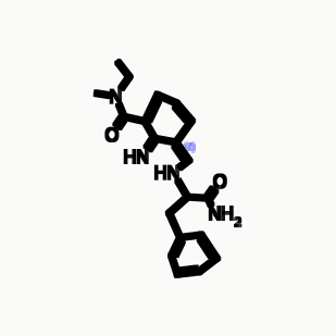 CCN(C)C(=O)C1=CC=C/C(=C/NC(Cc2ccccc2)C(N)=O)C1=N